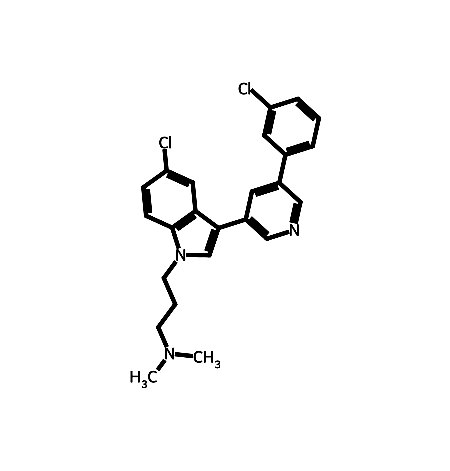 CN(C)CCCn1cc(-c2cncc(-c3cccc(Cl)c3)c2)c2cc(Cl)ccc21